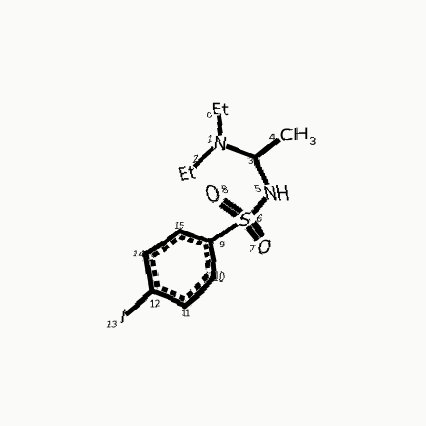 CCN(CC)C(C)NS(=O)(=O)c1ccc(I)cc1